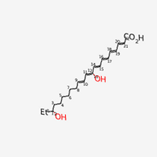 CCC(O)CCCCCC/C=C/C=C(O)/C=C/C=C/C=C/C=C/C(=O)O